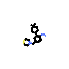 CC1(C)CC=C(c2cc(CN3CCSCC3)ccc2N)CC1